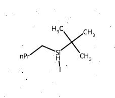 CCCC[SiH](I)C(C)(C)C